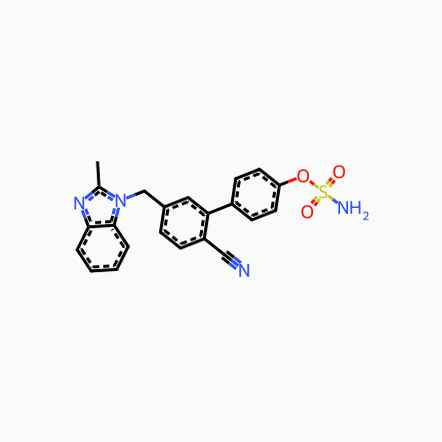 Cc1nc2ccccc2n1Cc1ccc(C#N)c(-c2ccc(OS(N)(=O)=O)cc2)c1